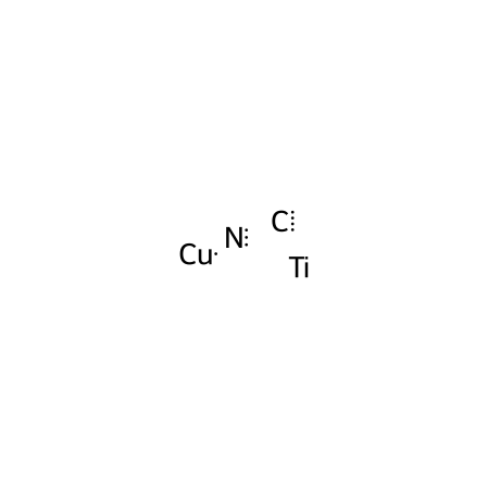 [C].[Cu].[N].[Ti]